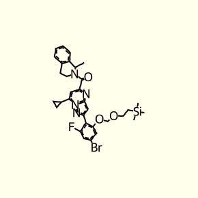 CC1c2ccccc2CCN1C(=O)c1cc(C2CC2)n2nc(-c3c(F)cc(Br)cc3OCOCC[Si](C)(C)C)cc2n1